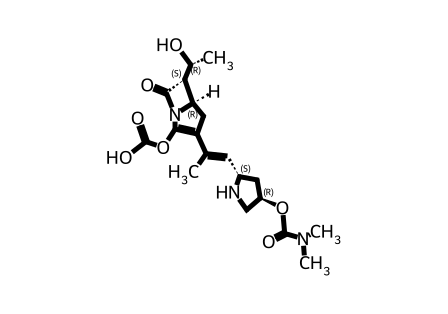 CC(=C[C@@H]1C[C@@H](OC(=O)N(C)C)CN1)C1=C(OC(=O)O)N2C(=O)[C@H]([C@@H](C)O)[C@H]2C1